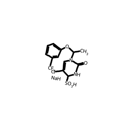 CC(Oc1cccc(C(F)(F)F)c1)N1C=C(Cl)C(S(=O)(=O)O)NC1=O.[NaH]